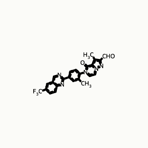 Cc1cc(-c2ncc3cc(C(F)(F)F)ccc3n2)ccc1-n1ccn2nc(C=O)c(C)c2c1=O